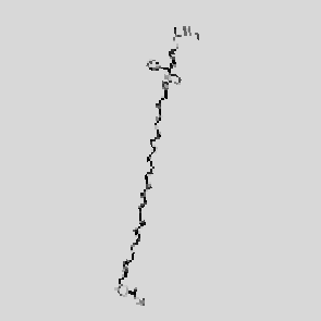 CCCCCCCCCCCCCCCCCCCCCCCCOC(=O)CCCCC